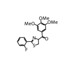 COc1cc(C(=O)C2CSC(c3ccccc3F)=N2)cc(OC)c1OC